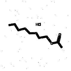 CCCCCCCCOC(C)=O.Cl